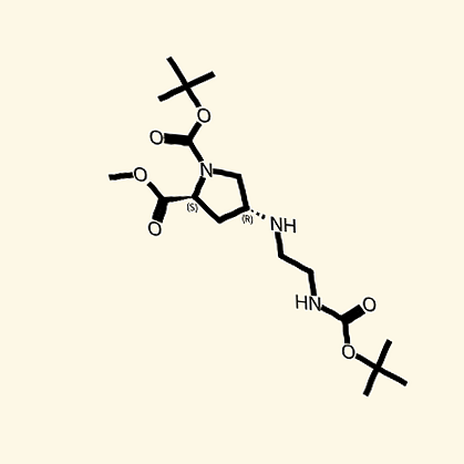 COC(=O)[C@@H]1C[C@@H](NCCNC(=O)OC(C)(C)C)CN1C(=O)OC(C)(C)C